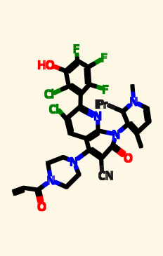 C=CC(=O)N1CCN(c2c(C#N)c(=O)n(C3=C(C)C=CN(C)C3C(C)C)c3nc(-c4c(F)c(F)c(F)c(O)c4Cl)c(Cl)cc23)CC1